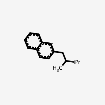 CC(C)C(C)Cc1[c]c2ccccc2cc1